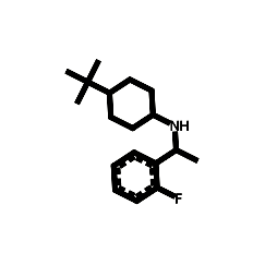 CC(NC1CCC(C(C)(C)C)CC1)c1ccccc1F